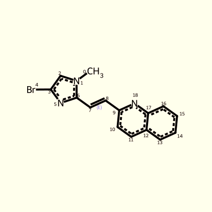 Cn1cc(Br)nc1/C=C/c1ccc2ccccc2n1